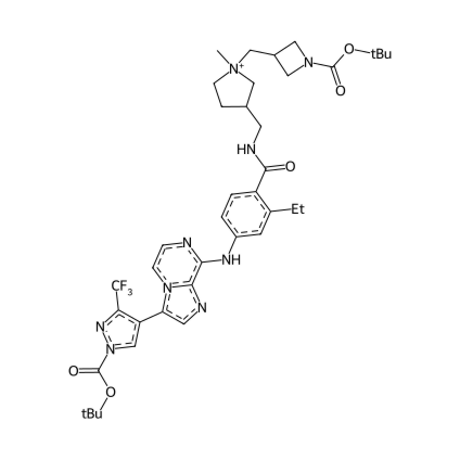 CCc1cc(Nc2nccn3c(-c4cn(C(=O)OC(C)(C)C)nc4C(F)(F)F)cnc23)ccc1C(=O)NCC1CC[N+](C)(CC2CN(C(=O)OC(C)(C)C)C2)C1